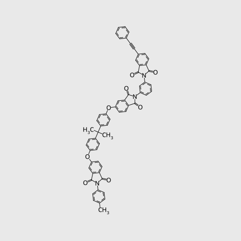 Cc1ccc(N2C(=O)c3ccc(Oc4ccc(C(C)(C)c5ccc(Oc6ccc7c(c6)C(=O)N(c6cccc(N8C(=O)c9ccc(C#Cc%10ccccc%10)cc9C8=O)c6)C7=O)cc5)cc4)cc3C2=O)cc1